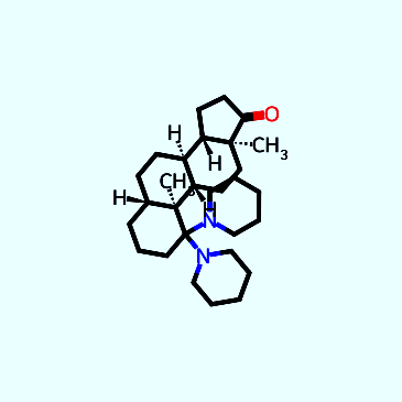 C[C@@]12[C@H](CCCC1(N1CCCCC1)N1CCCCC1)CC[C@@H]1[C@@H]2CC[C@]2(C)C(=O)CC[C@@H]12